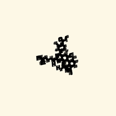 C=CC(=O)N1C[C@H](C)N(c2nc(NCCCN(CC)CC)nc3c(F)c(-c4c(C)ccc5c4c(N)nn5I)c(Cl)cc23)C[C@H]1C